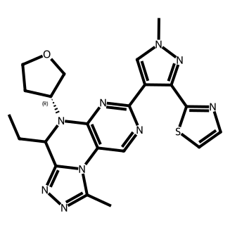 CCC1c2nnc(C)n2-c2cnc(-c3cn(C)nc3-c3nccs3)nc2N1[C@@H]1CCOC1